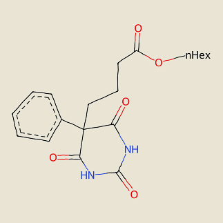 CCCCCCOC(=O)CCCC1(c2ccccc2)C(=O)NC(=O)NC1=O